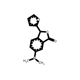 CN(C)c1ccc2c(c1)C(=O)OC2c1cccs1